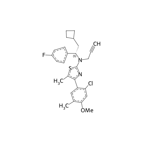 C#CCN(c1nc(-c2cc(C)c(OC)cc2Cl)c(C)s1)[C@@H](CC1CCC1)c1ccc(F)cc1